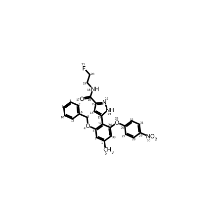 Cc1cc(OCc2ccccc2)c(-c2cc(C(=O)NCCF)n[nH]2)c(Oc2ccc([N+](=O)[O-])cc2)c1